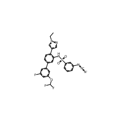 CCn1cc(-c2ccc(-c3cc(F)cc(OC(F)F)c3)cc2NS(=O)(=O)c2cccc(N=[N+]=[N-])c2)cn1